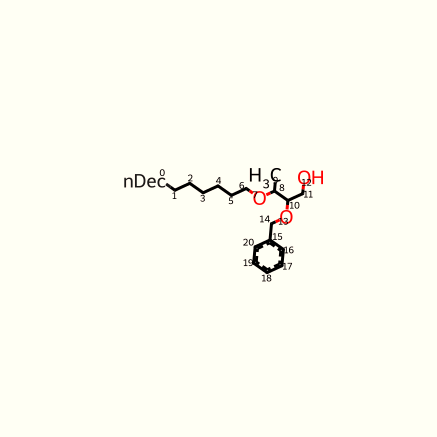 CCCCCCCCCCCCCCCCOC(C)C(CO)OCc1ccccc1